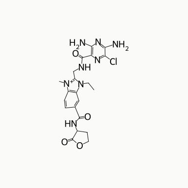 CCn1c(CNC(=O)c2nc(Cl)c(N)nc2N)[n+](C)c2ccc(C(=O)NC3CCOC3=O)cc21